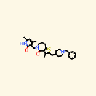 Cc1cc(C)c(CN2CCCc3sc(CC4CCN(Cc5ccccc5)CC4)c(C)c3C2=O)c(=O)[nH]1